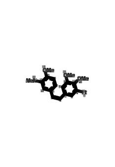 CCc1cc(/C=C\c2ccc(OC)c(NC)c2)cc(OC)c1OC